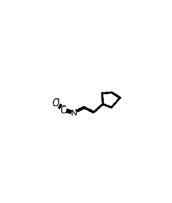 O=C=NCCC1CCCC1